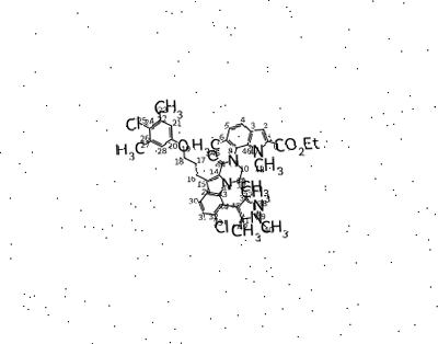 CCOC(=O)c1cc2ccc(C)c(N3C[C@@H](C)n4c(c(CCCOc5cc(C)c(Cl)c(C)c5)c5ccc(Cl)c(-c6c(C)nn(C)c6C)c54)C3=O)c2n1C